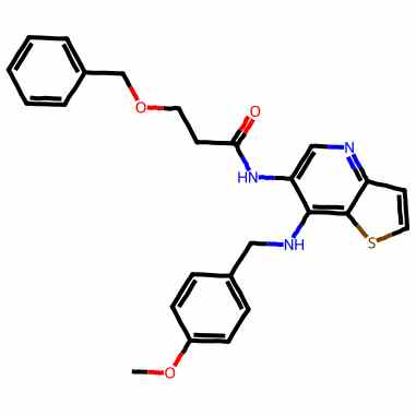 COc1ccc(CNc2c(NC(=O)CCOCc3ccccc3)cnc3ccsc23)cc1